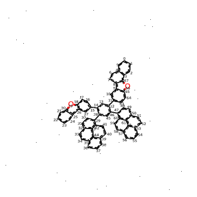 c1ccc2c(c1)ccc1c3cc(-c4cc(-c5ccc6oc7ccccc7c6c5)c(-c5ccc6ccc7cccc8ccc5c6c78)cc4-c4ccc5ccc6cccc7ccc4c5c67)ccc3oc21